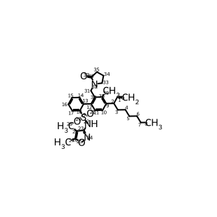 C=CC(CCCCCC)c1ccc(-c2ccccc2S(=O)(=O)Nc2noc(C)c2C)c(CN2CCCC2=O)c1C